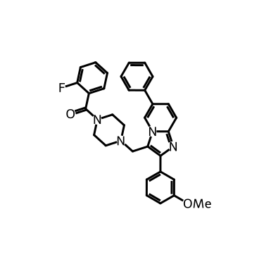 COc1cccc(-c2nc3ccc(-c4ccccc4)cn3c2CN2CCN(C(=O)c3ccccc3F)CC2)c1